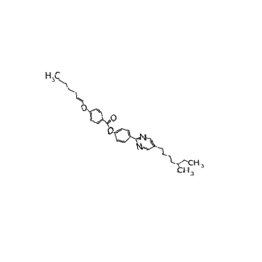 CCCCCC=COc1ccc(C(=O)Oc2ccc(-c3ncc(CCCCC(C)CC)cn3)cc2)cc1